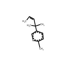 C/C=C\C(C)(C)c1ccc(C)nc1